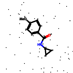 COc1ccc(C(=O)NC2CC2)cc1